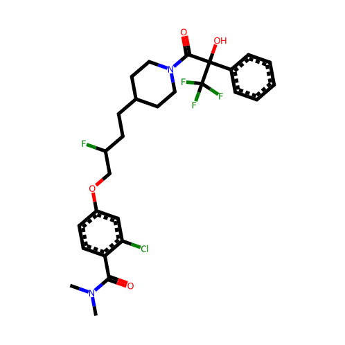 CN(C)C(=O)c1ccc(OCC(F)CCC2CCN(C(=O)C(O)(c3ccccc3)C(F)(F)F)CC2)cc1Cl